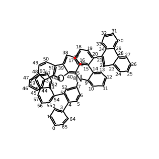 c1ccc(-c2ccc(N(c3ccccc3-c3ccccc3-c3cc4ccccc4c4ccccc34)c3cccc4c3oc3c5ccccc5ccc43)cc2-c2cccc3ccccc23)cc1